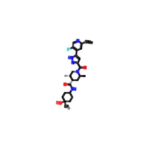 COc1cc(-c2cc(C(=O)N3C[C@@H](C)[C@@H](C(=O)NC4CCC(O)(C(F)(F)F)CC4)C[C@@H]3C)n[nH]2)c(F)cn1